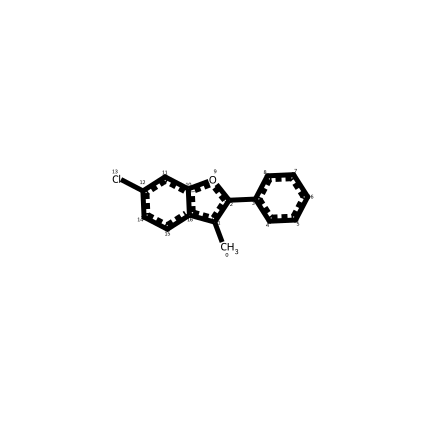 Cc1c(-c2ccccc2)oc2cc(Cl)ccc12